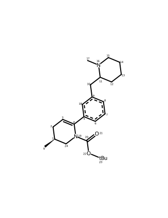 C[C@H]1CC=C(c2cccc(CC3CCCCN3C)c2)N(C(=O)OC(C)(C)C)C1